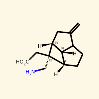 C=C1C[C@@H]2[C@@H]3C1CC[C@@H]3[C@@]2(CN)CC(=O)O